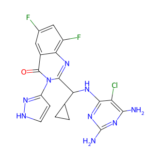 Nc1nc(N)c(Cl)c(NC(c2nc3c(F)cc(F)cc3c(=O)n2-c2cc[nH]n2)C2CC2)n1